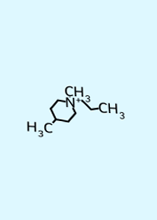 CCC[N+]1(C)CCC(C)CC1